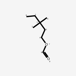 CCC(C)(C)CCOC=O